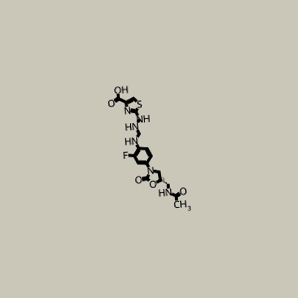 CC(=O)NC[C@H]1CN(c2ccc(NCNNc3nc(C(=O)O)cs3)c(F)c2)C(=O)O1